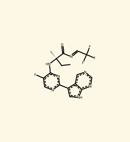 CC[C@@](C)(Nc1nc(-c2c[nH]c3ncncc23)ncc1F)C(=O)/N=C/C(F)(F)F